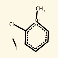 C[n+]1ccccc1Cl.II